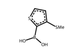 CSc1ccsc1B(O)O